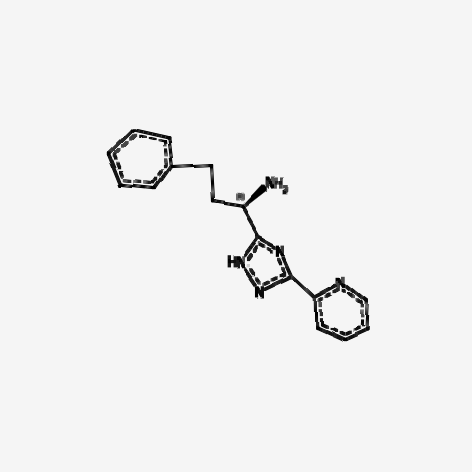 N[C@H](CCc1ccccc1)c1nc(-c2ccccn2)n[nH]1